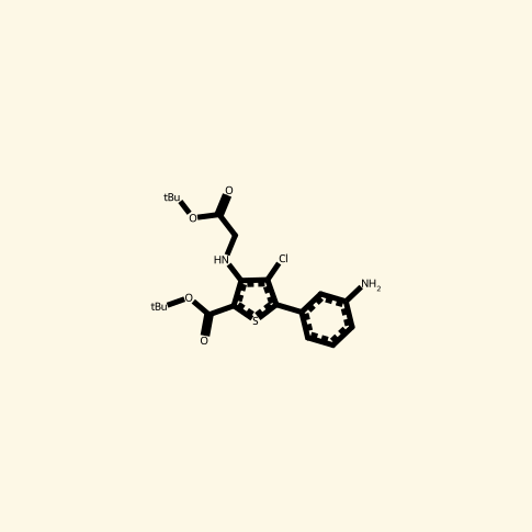 CC(C)(C)OC(=O)CNc1c(C(=O)OC(C)(C)C)sc(-c2cccc(N)c2)c1Cl